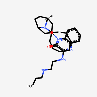 CCCNCCNc1nc2ccccc2n([C@H]2CC3CC[C@@H](C2)N3C2CCCCCCC2)c1=O